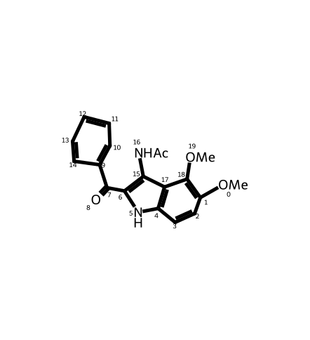 COc1ccc2[nH]c(C(=O)c3ccccc3)c(NC(C)=O)c2c1OC